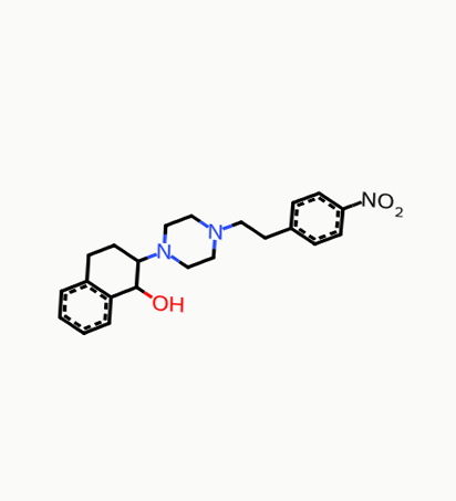 O=[N+]([O-])c1ccc(CCN2CCN(C3CCc4ccccc4C3O)CC2)cc1